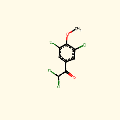 COc1c(Cl)cc(C(=O)C(Cl)Cl)cc1Cl